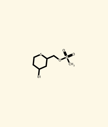 CCC1CCSC(COS(C)(=O)=O)C1